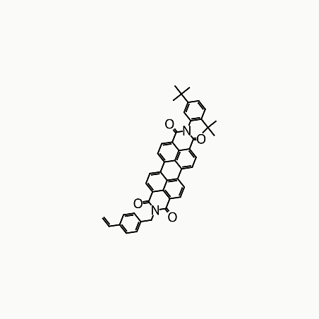 C=Cc1ccc(CN2C(=O)c3ccc4c5ccc6c7c(ccc(c8ccc(c3c48)C2=O)c75)C(=O)N(c2cc(C(C)(C)C)ccc2C(C)(C)C)C6=O)cc1